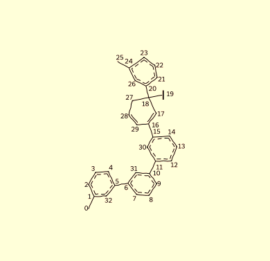 Cc1cccc(-c2cccc(-c3cccc(C4=CC(I)(c5cccc(C)c5)CC=C4)c3)c2)c1